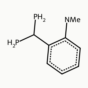 CNc1ccccc1C(P)P